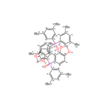 CC(C)(C)c1cc(C(C)(C)C)cc(P(=O)(c2cc(C(C)(C)C)cc(C(C)(C)C)c2)c2ccc3c(c2-c2c(P(=O)(c4cc(C(C)(C)C)cc(C(C)(C)C)c4)c4cc(C(C)(C)C)cc(C(C)(C)C)c4)ccc4c2OCO4)OCO3)c1